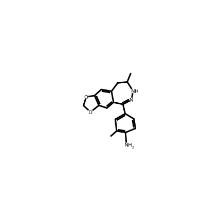 Cc1cc(C2=NNC(C)Cc3cc4c(cc32)OCO4)ccc1N